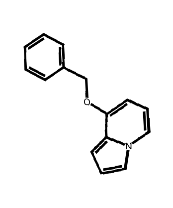 c1ccc(COc2cccn3cccc23)cc1